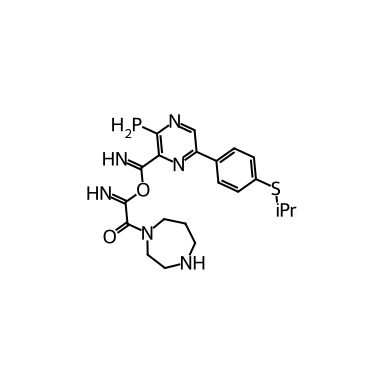 CC(C)Sc1ccc(-c2cnc(P)c(C(=N)OC(=N)C(=O)N3CCCNCC3)n2)cc1